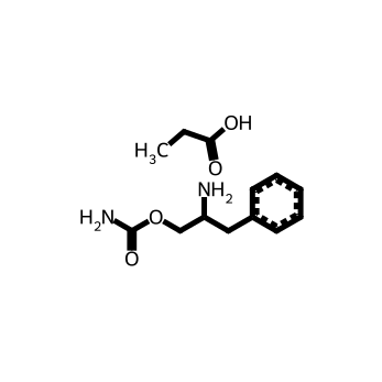 CCC(=O)O.NC(=O)OCC(N)Cc1ccccc1